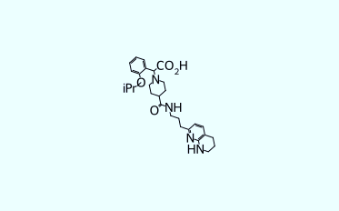 CC(C)Oc1ccccc1C(C(=O)O)N1CCC(C(=O)NCCCc2ccc3c(n2)NCCC3)CC1